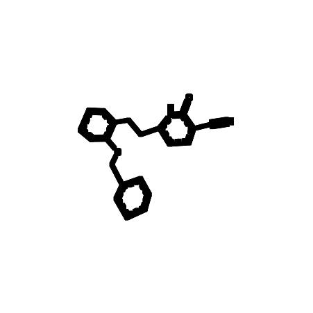 N#Cc1ccc(CCc2ccccc2OCc2ccccc2)[nH]c1=O